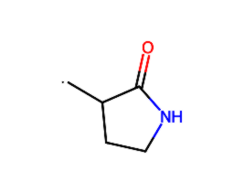 [CH2]C1CCNC1=O